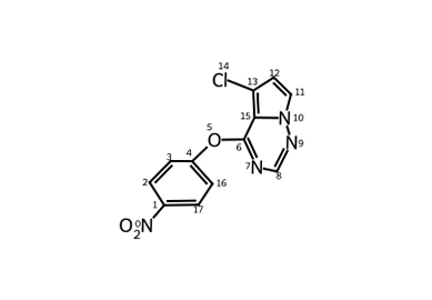 O=[N+]([O-])c1ccc(Oc2ncnn3ccc(Cl)c23)cc1